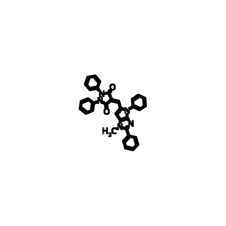 Cn1c(-c2ccccc2)nc2c1cc(C=C1C(=O)N(c3ccccc3)N(c3ccccc3)C1=O)n2-c1ccccc1